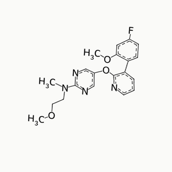 COCCN(C)c1ncc(Oc2ncccc2-c2ccc(F)cc2OC)cn1